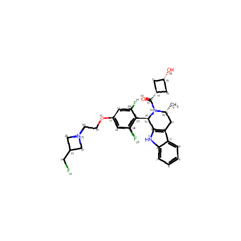 C[C@@H]1Cc2c([nH]c3ccccc23)[C@@H](c2c(F)cc(OCCN3CC(CF)C3)cc2F)N1C(=O)[C@H]1C[C@@H](O)C1